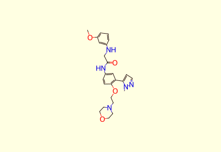 COc1cccc(NCC(=O)Nc2ccc(OCCN3CCOCC3)c(-c3ccnn3C)c2)c1